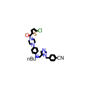 CCCCN(Cc1cncn1Cc1ccc(C#N)cc1)c1ccc(N2CCN(C(=O)c3ccc(Cl)s3)CC2)cc1